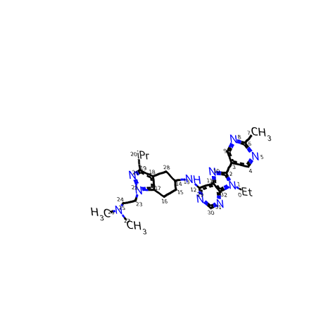 CCn1c(-c2cnc(C)nc2)nc2c(NC3CCc4c(c(C(C)C)nn4CCN(C)C)C3)ncnc21